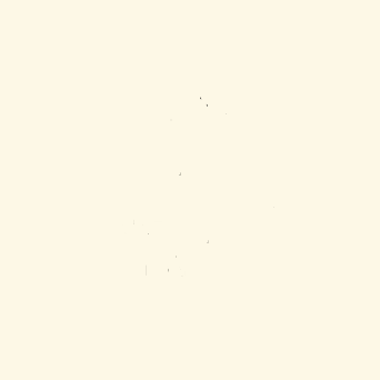 Cc1ccc(S(=O)(=O)O)cc1.N[C@H]1C=C[C@@H](C(=O)O)C1